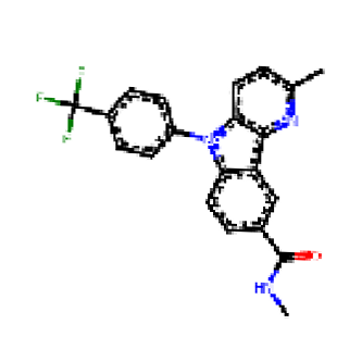 CNC(=O)c1ccc2c(c1)c1nc(C)ccc1n2-c1ccc(C(F)(F)F)cc1